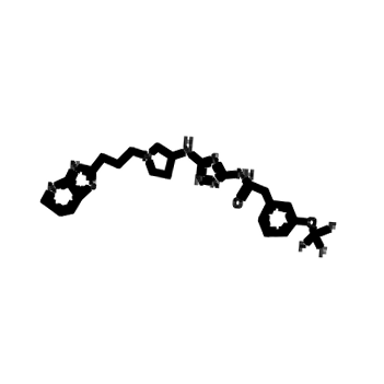 O=C(Cc1cccc(OC(F)(F)F)c1)Nc1nnc(NC2CCN(CCCc3nc4ncccc4s3)C2)s1